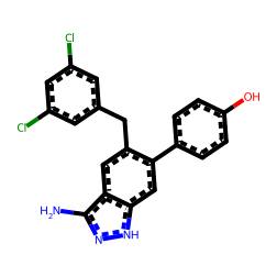 Nc1n[nH]c2cc(-c3ccc(O)cc3)c(Cc3cc(Cl)cc(Cl)c3)cc12